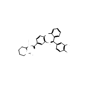 NN1CCCCC1NC(=O)c1ccc2c(c1)N=C(c1ccc(F)c(Cl)c1)c1ccccc1S2